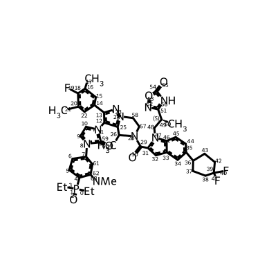 CCP(=O)(CC)c1ccc(-n2ccn(-c3c(-c4cc(C)c(F)c(C)c4)nn4c3C(C)N(C(=O)c3cc5cc(C6CCC(F)(F)CC6)ccc5n3C[C@H](C)c3noc(=O)[nH]3)CC4)c2=O)cc1NC